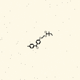 CCC(C)(C)C(=O)OCCOc1ccc(C(=O)c2ccc(C)cc2)cc1